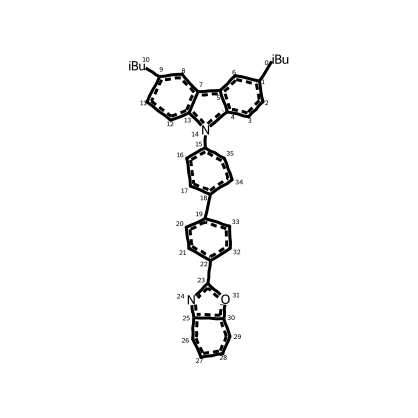 CCC(C)c1ccc2c(c1)c1cc(C(C)CC)ccc1n2-c1ccc(-c2ccc(-c3nc4ccccc4o3)cc2)cc1